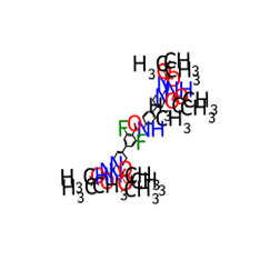 Cc1cc(NC(=O)c2c(F)cc(C3=CCN(/C(=N/C(=O)OC(C)(C)C)NC(=O)OC(C)(C)C)CC3)cc2F)ccc1C1=CCN(/C(=N/C(=O)OC(C)(C)C)NC(=O)OC(C)(C)C)CC1